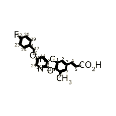 Cc1cc(C=CC(=O)O)cc(C)c1Oc1ccc(OCc2ccc(F)cc2)cn1